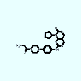 NCC(=O)N1CCN(c2ccc(Nc3ncc4cnc(=O)n(C5CCCC5)c4n3)cc2)CC1